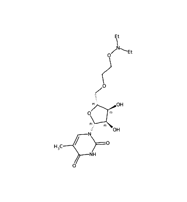 CCN(CC)OCCOC[C@H]1O[C@@H](n2cc(C)c(=O)[nH]c2=O)[C@H](O)[C@@H]1O